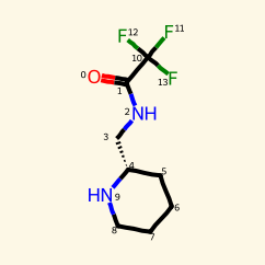 O=C(NC[C@@H]1CCCCN1)C(F)(F)F